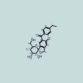 CCc1ccc(C(=O)c2cc3c(cc2Cl)CO[C@]32O[C@H](CO)[C@@H](C)[C@H](O)[C@H]2O)cc1